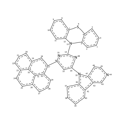 c1ccc2c(c1)Sc1ccccc1N2c1nc(-c2cc3cccc4ccc5cccc2c5c43)cc(-n2c3ccccc3c3cnccc32)n1